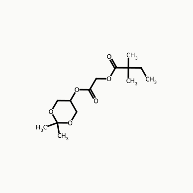 CCC(C)(C)C(=O)OCC(=O)OC1COC(C)(C)OC1